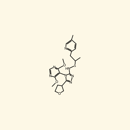 COc1ncnc(OC)c1-n1c(NSC(C)Cc2ccc(C)cn2)nnc1C1CCOC1